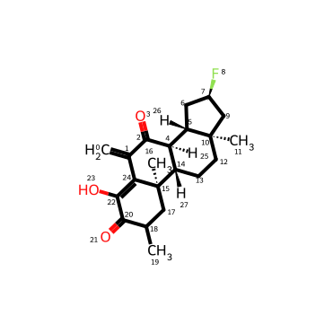 C=C1C(=O)[C@H]2[C@@H]3C[C@@H](F)C[C@@]3(C)CC[C@@H]2[C@@]2(C)CC(C)C(=O)C(O)=C12